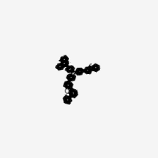 c1ccc(-c2cccc3c2oc2ccc(-c4ccc(N(c5ccc(-c6ccc7c(c6)sc6ccccc67)cc5)c5ccc(-c6cc7ccccc7c7ccccc67)cc5)cc4)cc23)cc1